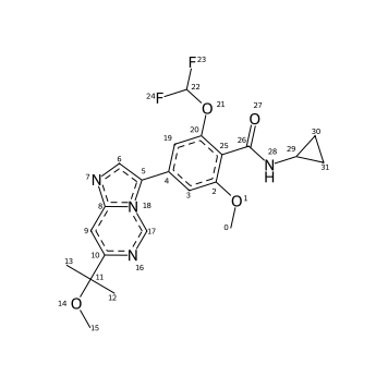 COc1cc(-c2cnc3cc(C(C)(C)OC)ncn23)cc(OC(F)F)c1C(=O)NC1CC1